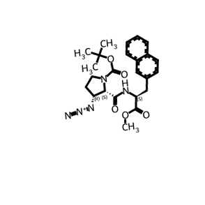 COC(=O)[C@H](Cc1ccc2ccccc2c1)NC(=O)[C@@H]1[C@H](N=[N+]=[N-])CCN1C(=O)OC(C)(C)C